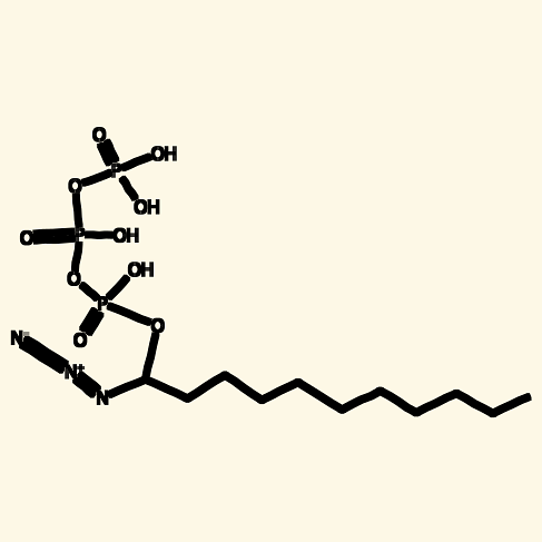 CCCCCCCCCCC(N=[N+]=[N-])OP(=O)(O)OP(=O)(O)OP(=O)(O)O